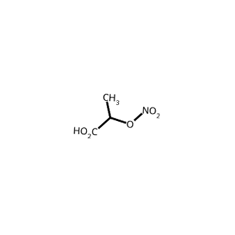 CC(O[N+](=O)[O-])C(=O)O